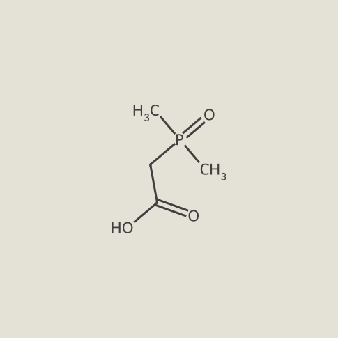 CP(C)(=O)CC(=O)O